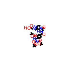 C[C@H](NC(=O)c1ccc(C(=NC(=O)OC(C)(C)C)N(C(=O)OC(C)(C)C)C(=O)OC(C)(C)C)cc1)C(=O)N1CCc2nn(CC(=O)O)cc2C1